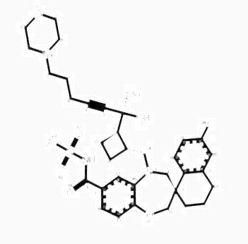 CCCC[C@@](O)(C#CCCCN1CCOCC1)[C@@H]1CC[C@H]1CN1C[C@@]2(CCCc3cc(Cl)ccc32)COc2ccc(C(=O)NS(=O)(=O)C(C)C)cc21